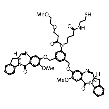 COCCOCCC(=O)N(CCCC(=O)NCCS)c1cc(COc2cc3c(cc2OC)C(=O)N2c4ccccc4C[C@H]2C=N3)cc(COc2cc3c(cc2OC)C(=O)N2c4ccccc4C[C@H]2C=N3)c1